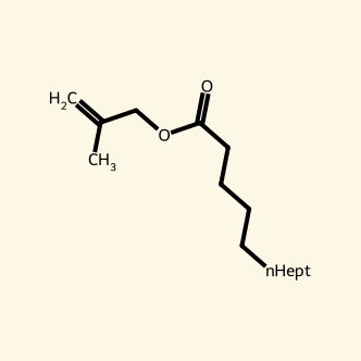 C=C(C)COC(=O)CCCCCCCCCCC